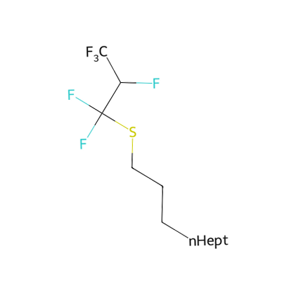 [CH2]CCCCCCCCCSC(F)(F)C(F)C(F)(F)F